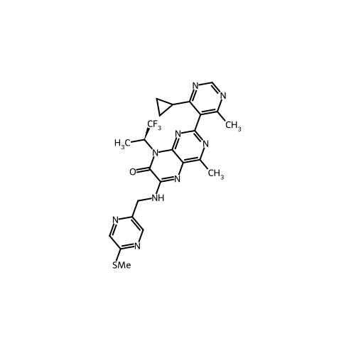 CSc1cnc(CNc2nc3c(C)nc(-c4c(C)ncnc4C4CC4)nc3n([C@@H](C)C(F)(F)F)c2=O)cn1